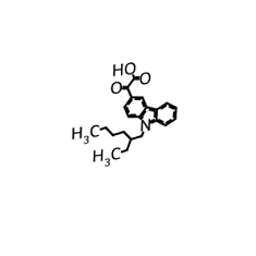 CCCCC(CC)Cn1c2ccccc2c2cc(C(=O)C(=O)O)ccc21